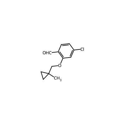 CC1(COc2cc(Cl)ccc2C=O)CC1